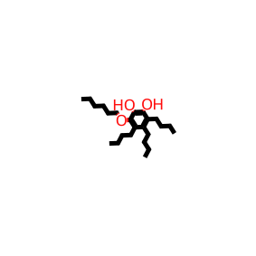 CCCCCCOc1c(O)c(O)c(CCCC)c(CCCC)c1CCCC